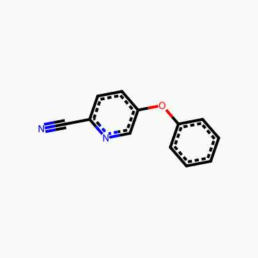 N#Cc1ccc(Oc2ccccc2)cn1